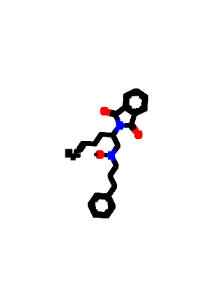 C=CCCC(CN([O])CCCc1ccccc1)N1C(=O)c2ccccc2C1=O